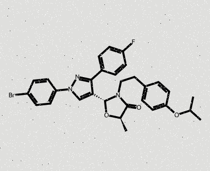 CC(C)Oc1ccc(CCN2C(=O)[C@@H](C)O[C@@H]2c2cn(-c3ccc(Br)cc3)nc2-c2ccc(F)cc2)cc1